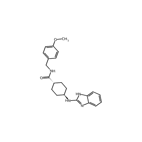 COc1ccc(CNC(=O)[C@H]2CC[C@H](Nc3nc4ccccc4[nH]3)CC2)cc1